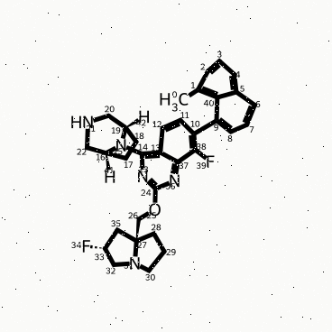 Cc1cccc2cccc(-c3ccc4c(N5[C@@H]6CC[C@H]5CNC6)nc(OC[C@@]56CCCN5C[C@H](F)C6)nc4c3F)c12